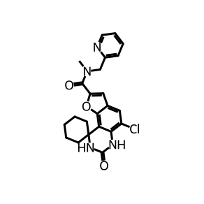 CN(Cc1ccccn1)C(=O)c1cc2cc(Cl)c3c(c2o1)C1(CCCCC1)NC(=O)N3